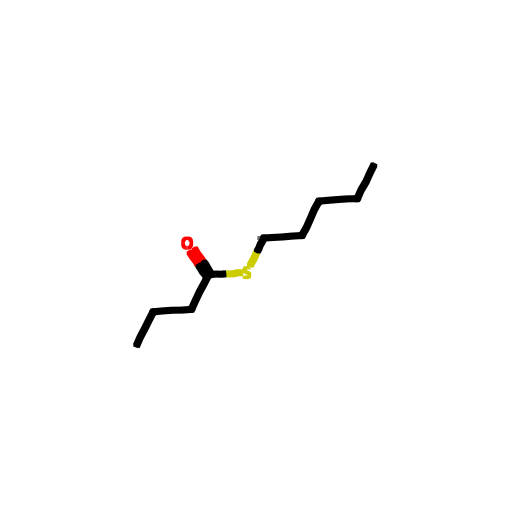 CCCC[CH]SC(=O)CCC